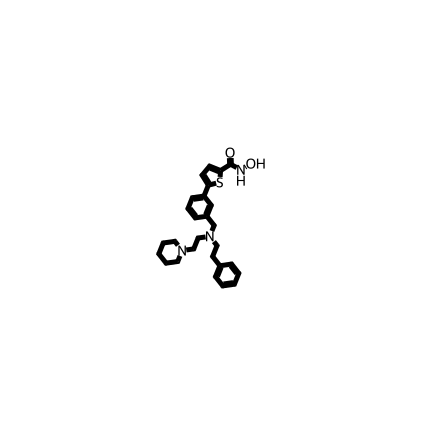 O=C(NO)c1ccc(-c2cccc(CN(CCc3ccccc3)CCN3CCCCC3)c2)s1